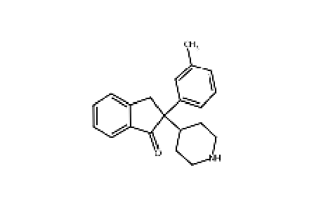 Cc1cccc(C2(C3CCNCC3)Cc3ccccc3C2=O)c1